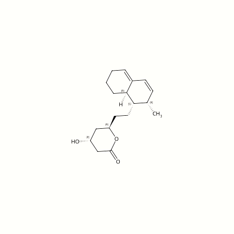 C[C@H]1C=CC2=CCCC[C@@H]2[C@H]1CC[C@@H]1C[C@@H](O)CC(=O)O1